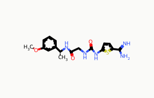 COc1cccc([C@@H](C)NC(=O)CNC(=O)Nc2ccc(C(=N)N)s2)c1